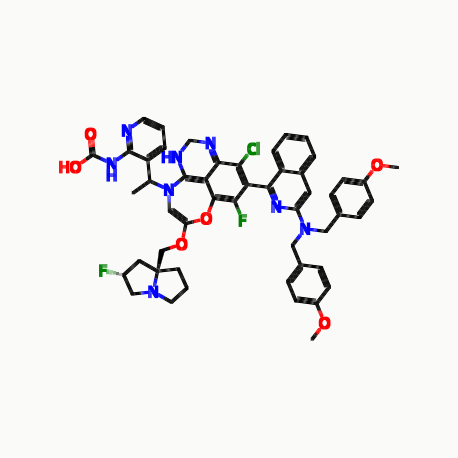 COc1ccc(CN(Cc2ccc(OC)cc2)c2cc3ccccc3c(-c3c(F)c4c5c(c3Cl)=NCNC=5N(C(C)c3cccnc3NC(=O)O)C=C(OC[C@@]35CCCN3C[C@H](F)C5)O4)n2)cc1